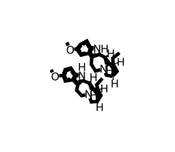 CC[C@H]1C[C@@H]2C[C@H]3c4[nH]c5ccc(OC)cc5c4CCN(C2)[C@@H]13.CC[C@H]1C[C@@H]2C[C@H]3c4[nH]c5ccc(OC)cc5c4CCN(C2)[C@@H]13